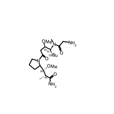 CC[C@H](C)[C@@H]([C@@H](CC(=O)N1CCCC1[C@H](OC)[C@@H](C)C(N)=O)OC)N(C)C(=O)CN